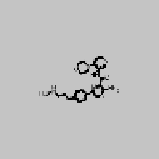 BNCCCc1ccc(-c2cnc(N)c(C(=O)Nc3cnccc3N3CCOCC3)n2)cc1